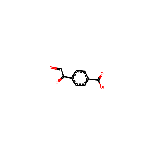 O=[C]C(=O)c1ccc(C(=O)O)cc1